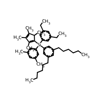 CCCCCCc1cc(CCCCCC)cc([Si](C2=C(C)C(C)=C(C)C2C)(c2cc(C)cc(C)c2)c2cc(CC)cc(CC)c2)c1